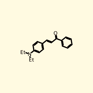 CCN(CC)c1ccc(/C=C/C(=O)c2ccccc2)cc1